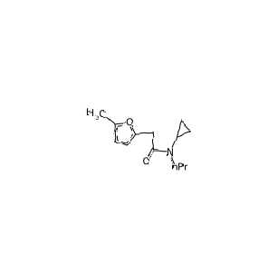 CCCN(C(=O)Cc1ccc(C)o1)C1CC1